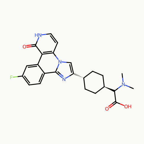 CN(C)C(C(=O)O)[C@H]1CC[C@H](c2cn3c4cc[nH]c(=O)c4c4cc(F)ccc4c3n2)CC1